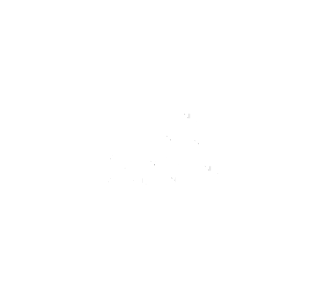 CC(C)(C)Cn1cnc2c(N)nc(N)nc21